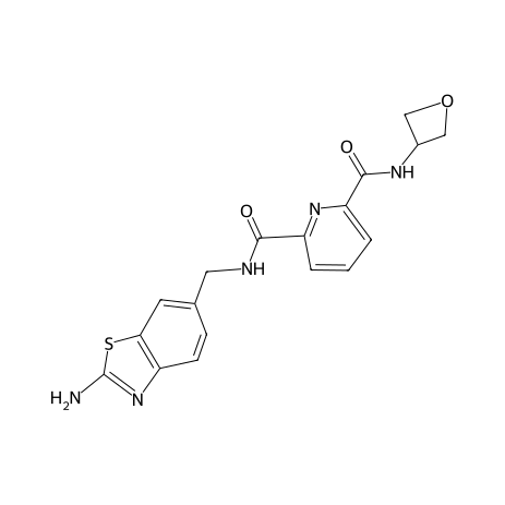 Nc1nc2ccc(CNC(=O)c3cccc(C(=O)NC4COC4)n3)cc2s1